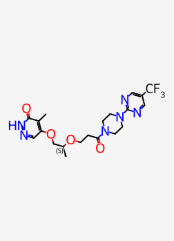 Cc1c(OC[C@H](C)OCCC(=O)N2CCN(c3ncc(C(F)(F)F)cn3)CC2)cn[nH]c1=O